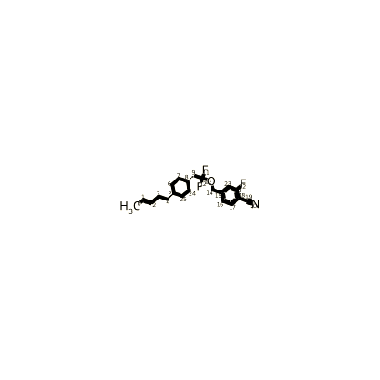 CC=CCC[C@H]1CC[C@H](CC(F)(F)OCc2ccc(C#N)c(F)c2)CC1